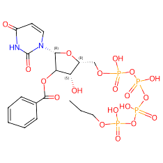 CCCOP(=O)(O)OP(=O)(O)OP(=O)(O)OP(=O)(O)OC[C@H]1O[C@@H](n2ccc(=O)[nH]c2=O)C(OC(=O)c2ccccc2)[C@H]1O